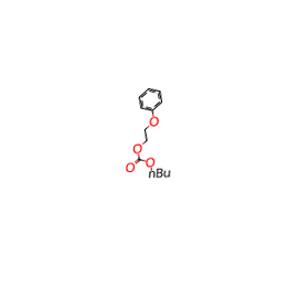 CCCCOC(=O)OCCOc1ccccc1